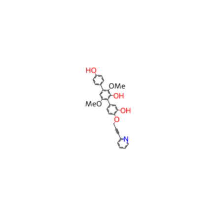 COc1cc(-c2ccc(O)cc2)c(OC)c(O)c1-c1ccc(OCC#Cc2ccccn2)c(O)c1